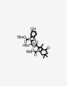 CCCC[C@H](NC(=O)c1c(C)c2c(n1C(=O)OC(C)(C)C)CC(C)(C)CC2=O)c1nc2ccc(O)cc2n1C(=O)OC(C)(C)C